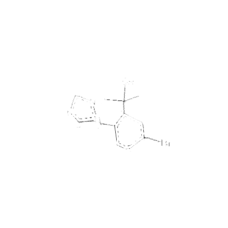 CC(C)(O)c1cc(Br)ccc1-n1cncn1